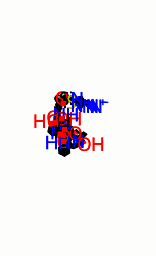 CCC[C@H]1C[C@](C(=O)OC)(c2cc3c(cc2OC)N(C)[C@H]2[C@@](O)(C(=O)NCCC[Si](C)(C)O[Si](C)(C)CSc4ncc(CN=[N+]=[N-])cn4)[C@H](O)[C@]4(CC)C=CCN5CC[C@]32[C@@H]54)c2[nH]c3ccccc3c2CCN1CO